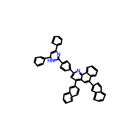 C1=C(c2ccccc2)N=C(c2ccc(-c3cc(-c4ccc5ccccc5c4)c4cc(-c5ccc6ccccc6c5)c5ccccc5c4n3)cc2)NC1c1ccccc1